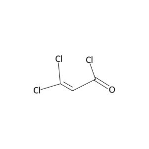 O=C(Cl)C=C(Cl)Cl